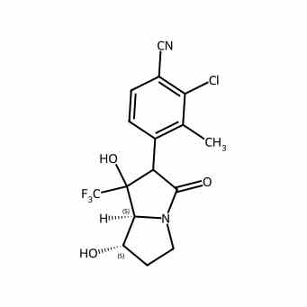 Cc1c(C2C(=O)N3CC[C@H](O)[C@H]3C2(O)C(F)(F)F)ccc(C#N)c1Cl